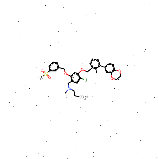 Cc1c(COc2cc(OCc3cccc(S(=O)(=O)C(F)(F)F)c3)c(CN(C)CCS(=O)(=O)O)cc2Cl)cccc1-c1ccc2c(c1)OCCO2